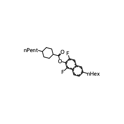 CCCCCCc1ccc2c(F)c(OC(=O)C3CCC(CCCCC)CC3)c(F)cc2c1